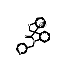 O=C1N(Cc2cccnc2)c2ccccc2C12COc1ccc3c(c12)NON3